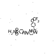 NS(=O)(=O)c1ccc(CNc2ccc3ncc(-c4ccc(OC(F)(F)F)cc4)n3n2)cc1